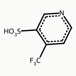 O=S(=O)(O)c1cnccc1C(F)(F)F